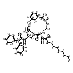 CCCCCCCCCC(=O)N[C@H]1CCCN(C)C(=O)c2cccc(c2)OC[C@@H]2C[C@H](NC(=O)C(c3ccccc3)c3ccccc3)CN2C1=O